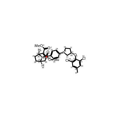 COC(=O)C1=C(c2ccc(N3CC[C@@H](Oc4c(Cl)cc(C)cc4Cl)C3)cc2)C[C@@H]2CC[C@H]1N2C(=O)OC(C)(C)C